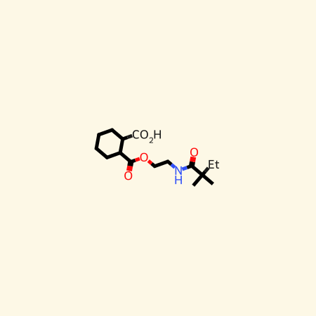 CCC(C)(C)C(=O)NCCOC(=O)C1CCCCC1C(=O)O